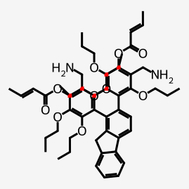 CC=CC(=O)Oc1c(CN)c(OCCC)c(-c2ccc3c(c2-c2c(OCCC)c(CN)c(OC(=O)C=CC)c(OCCC)c2OCCC)Cc2ccccc2-3)c(OCCC)c1OCCC